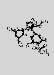 CS(=O)(=O)c1c(F)cc(-c2c(-c3cc(Cl)cc(Cl)c3)noc2CO)cc1F